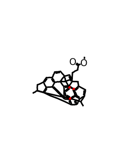 COC(=O)CCCC1(c2ccccc2)C23C=Cc4cc5c6c7c8c9c%10c%11c(cc%12c%10c(c%10c9c6c4C%1021)C(=C3)C%12)C(C)C(=C%118)C7(C)C5